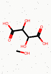 CO.O=C(O)C(O)C(O)C(=O)O